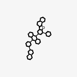 c1ccc(-c2cc(-c3c4ccccc4c(-c4cccc(-c5ccc6ccccc6c5)c4)c4ccccc34)cc3c2oc2c4ccccc4ccc32)cc1